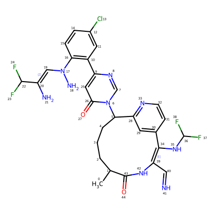 CC1CCCC(n2cnc(-c3cc(Cl)ccc3N(N)/C=C(\N)C(F)F)cc2=O)c2cc(ccn2)/C(NC(F)F)=C(/C=N)NC1=O